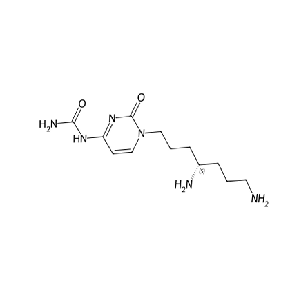 NCCC[C@H](N)CCCn1ccc(NC(N)=O)nc1=O